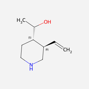 C=C[C@H]1CNCC[C@@H]1C(C)O